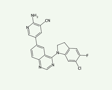 N#Cc1cc(-c2ccc3ncnc(N4CCc5cc(F)c(Cl)cc54)c3c2)cnc1N